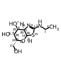 CCNC1=N[C@@H]2[C@H](O)[C@@H](O)[C@@H](CO)O[C@@H]2S1